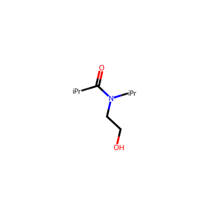 CC(C)C(=O)N(CCO)C(C)C